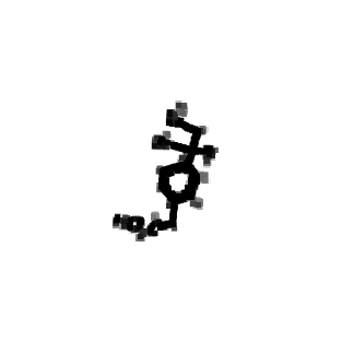 O=C(O)Cc1ccc(C(Br)(Br)CBr)cc1